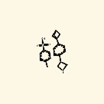 Cc1ccc(S(=O)(=O)O)cc1.c1cc(C23CC(C2)C3)ccc1C1CNC1